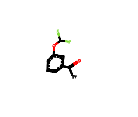 CC(C)C(=O)c1cccc(OC(F)F)c1